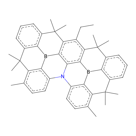 CCc1c2c3c4c5c1C(C)(C)c1cccc6c1B5c1c(ccc(C)c1C6(C)C)N4c1ccc(C)c4c1B3c1c(cccc1C2(C)C)C4(C)C